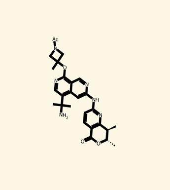 CC(=O)N1CC(C)(Oc2ncc(C(C)(C)N)c3cc(Nc4ccc5c(n4)[C@@H](C)[C@H](C)OC5=O)ncc23)C1